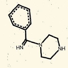 N=C(c1ccccc1)N1CCNCC1